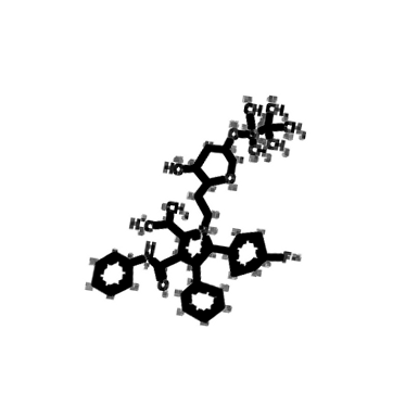 CC(C)c1c(C(=O)Nc2ccccc2)c(-c2ccccc2)c(-c2ccc(F)cc2)n1CCC1OCC(O[Si](C)(C)C(C)(C)C)CC1O